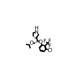 CC(C)OC[C@@H](Oc1cccc(Cl)c1C(F)(F)F)[C@@H]1CCNC1